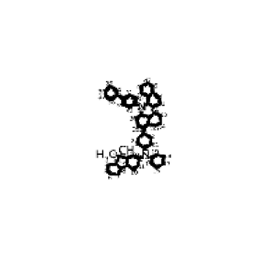 CC1(C)c2ccccc2-c2ccc(N(c3ccccc3)c3ccc(-c4ccc(N(c5ccc(-c6ccccc6)cc5)c5cccc6ccccc56)c5ccccc45)cc3)cc21